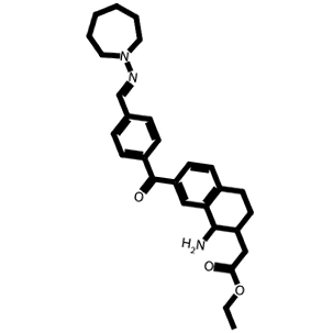 CCOC(=O)CC1CCc2ccc(C(=O)c3ccc(C=NN4CCCCCC4)cc3)cc2C1N